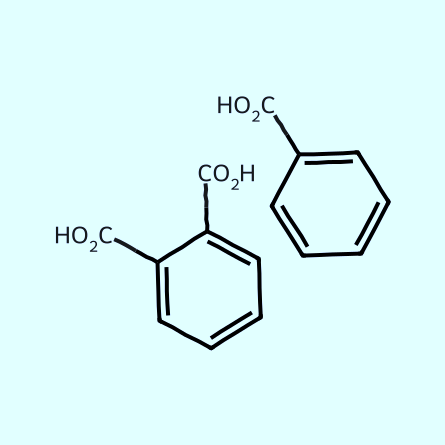 O=C(O)c1ccccc1.O=C(O)c1ccccc1C(=O)O